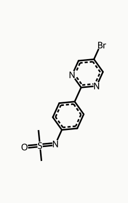 CS(C)(=O)=Nc1ccc(-c2ncc(Br)cn2)cc1